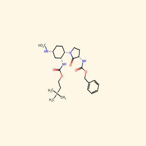 C[Si](C)(C)CCOC(=O)N[C@@H]1C[C@H](NC(=O)O)CC[C@@H]1N1CC[C@H](NC(=O)OCc2ccccc2)C1=O